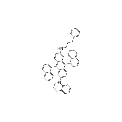 c1ccc(CCCNc2ccc3c(-c4cccc5ccccc45)c4cc(N5CCCc6ccccc65)ccc4c(-c4cccc5ccccc45)c3c2)cc1